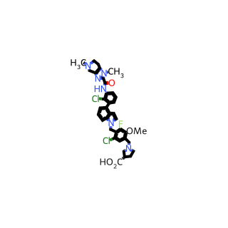 COc1c(CN2CCC(C(=O)O)C2)cc(Cl)c(Cn2ccc3c(-c4cccc(NC(=O)c5nc6c(n5C)CCN(C)C6)c4Cl)cccc32)c1F